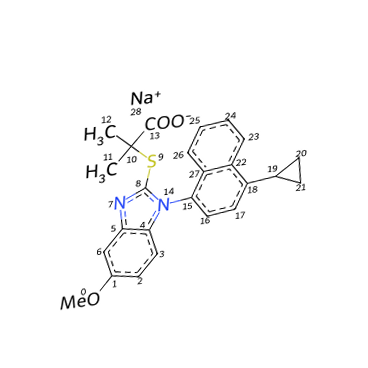 COc1ccc2c(c1)nc(SC(C)(C)C(=O)[O-])n2-c1ccc(C2CC2)c2ccccc12.[Na+]